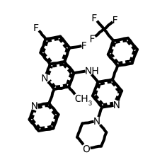 Cc1c(-c2ccccn2)nc2cc(F)cc(F)c2c1Nc1cc(N2CCOCC2)ncc1-c1cccc(C(F)(F)F)c1